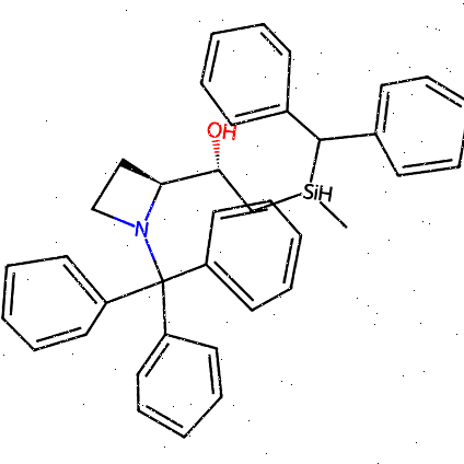 C[SiH](C[C@@H](O)[C@@H]1CCN1C(c1ccccc1)(c1ccccc1)c1ccccc1)C(c1ccccc1)c1ccccc1